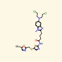 Cn1c(CCCC(=O)Nc2ncc(SCc3ncc(C(C)(C)C)o3)s2)nc2cc(N(CCCl)CCCl)ccc21